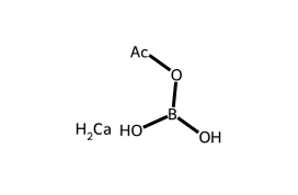 CC(=O)OB(O)O.[CaH2]